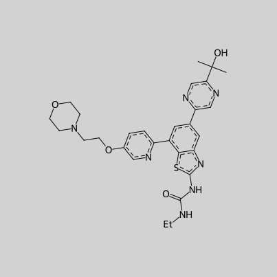 CCNC(=O)Nc1nc2cc(-c3cnc(C(C)(C)O)cn3)cc(-c3ccc(OCCN4CCOCC4)cn3)c2s1